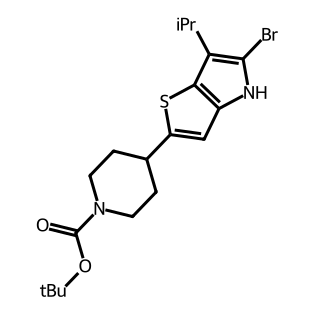 CC(C)c1c(Br)[nH]c2cc(C3CCN(C(=O)OC(C)(C)C)CC3)sc12